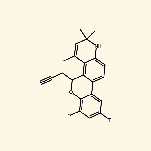 C#CCC1Oc2c(F)cc(F)cc2-c2ccc3c(c21)C(C)=CC(C)(C)N3